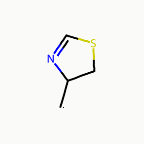 [CH2]C1CSC=N1